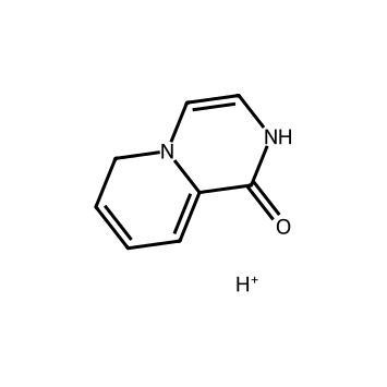 O=C1NC=CN2CC=CC=C12.[H+]